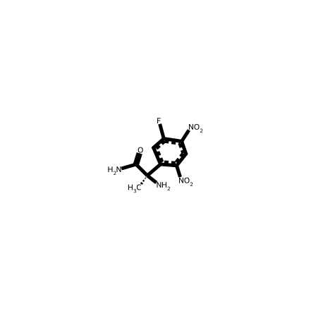 C[C@](N)(C(N)=O)c1cc(F)c([N+](=O)[O-])cc1[N+](=O)[O-]